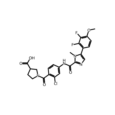 COc1ccc(-c2cnc(C(=O)Nc3ccc(C(=O)N4CCC(C(=O)O)C4)c(Cl)c3)n2C)c(F)c1F